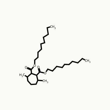 CCCCCCCCCCOC(=O)C1C(C)CCCC(C)C1C(=O)OCCCCCCCCCC